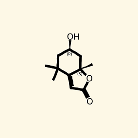 CC1(C)C[C@@H](O)C[C@]2(C)OC(=O)C=C12